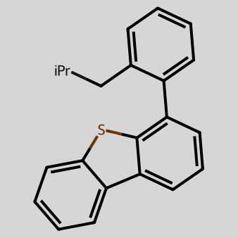 CC(C)Cc1ccccc1-c1cccc2c1sc1ccccc12